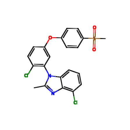 Cc1nc2c(Cl)cccc2n1-c1cc(Oc2ccc(S(C)(=O)=O)cc2)ccc1Cl